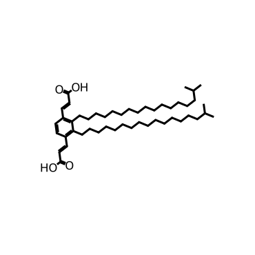 CC(C)CCCCCCCCCCCCCCCc1c(C=CC(=O)O)ccc(C=CC(=O)O)c1CCCCCCCCCCCCCCCC(C)C